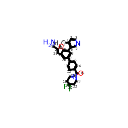 Cc1ccncc1-c1cc(-c2ccc(C(=O)N3CCC(F)(F)CC3)cc2)cc2cc(CN)oc12